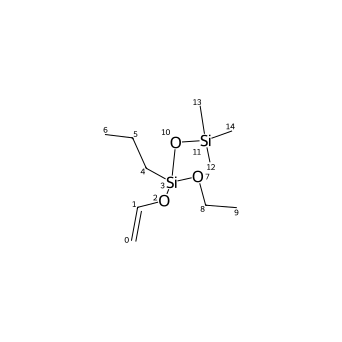 C=CO[Si](CCC)(OCC)O[Si](C)(C)C